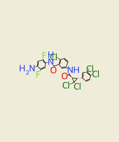 Nc1cc(F)c(NC(=O)c2cc(NC(=O)[C@H]3[C@H](c4ccc(Cl)c(Cl)c4)C3(Cl)Cl)ccc2Cl)cc1F